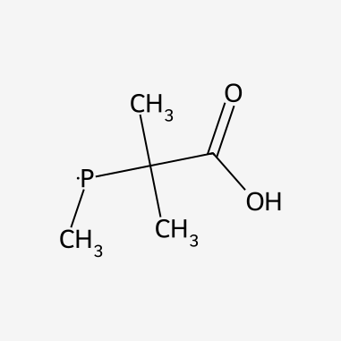 C[P]C(C)(C)C(=O)O